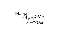 COc1cc(C)c(N/N=C\C=N)cc1OC